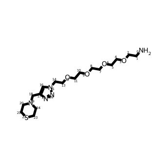 NCCOCCOCCOCCOCCn1cc(CN2CCSCC2)nn1